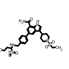 CCCC(NCc1ccc(-c2cc(C(N)=O)c3[nH]cc(C4CCN(S(=O)(=O)CC)CC4)c3c2)cc1)[SH](=O)=O